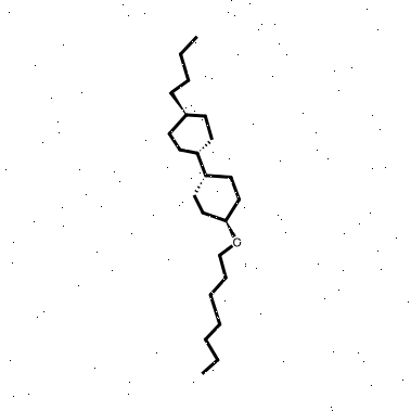 CCCCCCCO[C@H]1CC[C@H]([C@H]2CC[C@H](CCCC)CC2)CC1